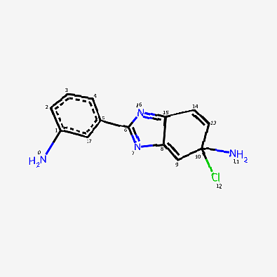 Nc1cccc(C2=NC3=CC(N)(Cl)C=CC3=N2)c1